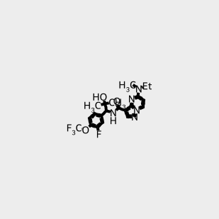 CCN(C)c1ccn2ncc(C(=O)NC(c3ccc(OC(F)(F)F)c(F)c3)C(C)(C)O)c2n1